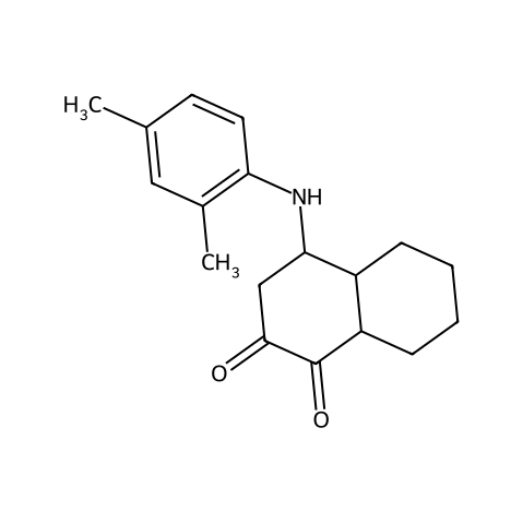 Cc1ccc(NC2CC(=O)C(=O)C3CCCCC23)c(C)c1